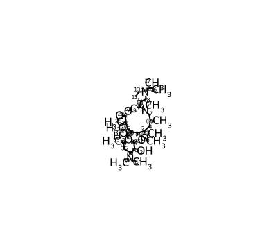 CO[C@]1(C)C[C@@H](C)CN(C)[C@H]([C@@H]2CCN(C(C)C)C2)COC(=O)C(C)(C)C(=O)[C@H](C)[C@H]1O[C@@H]1O[C@H](C)C[C@H](N(C)C)[C@H]1O